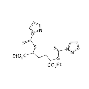 CCOC(=O)C(CCC(SC(=S)n1cccn1)C(=O)OCC)SC(=S)n1cccn1